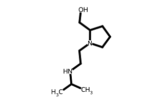 CC(C)NCCN1CCCC1CO